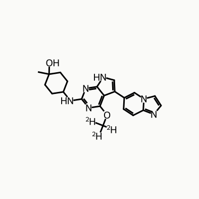 [2H]C([2H])([2H])Oc1nc(NC2CCC(C)(O)CC2)nc2[nH]cc(-c3ccc4nccn4c3)c12